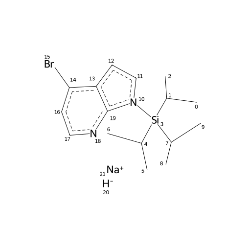 CC(C)[Si](C(C)C)(C(C)C)n1ccc2c(Br)ccnc21.[H-].[Na+]